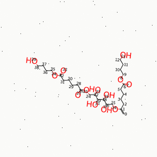 C=C(CCCCC(=O)OCCCCO)OC[C@H](O)C(O)C(O)[C@H](O)COC(=O)CCCCC(=O)OCCCCO